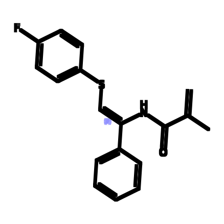 C=C(C)C(=O)N/C(=C\Sc1ccc(F)cc1)c1ccccc1